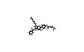 CCCCCCCn1nc(NC(=O)c2cccnc2)c2cc(Cl)c(-c3ccc(OC(=O)NCCN(C)C)cc3)nc21